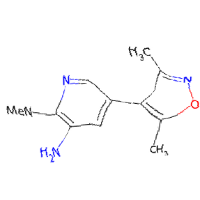 CNc1ncc(-c2c(C)noc2C)cc1N